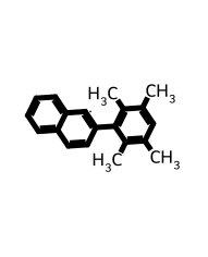 Cc1cc(C)c(C)c(-c2[c]c3ccccc3cc2)c1C